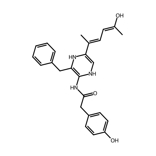 C/C(O)=C\C=C(/C)C1=CNC(NC(=O)Cc2ccc(O)cc2)=C(Cc2ccccc2)N1